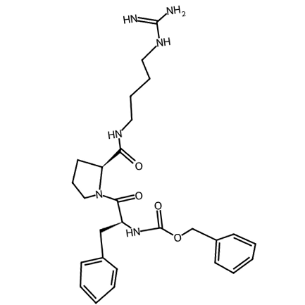 N=C(N)NCCCCNC(=O)[C@@H]1CCCN1C(=O)[C@H](Cc1ccccc1)NC(=O)OCc1ccccc1